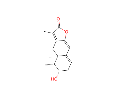 CC1=C2C[C@@]3(C)C(=CC[C@H](O)[C@@H]3C)C=C2OC1=O